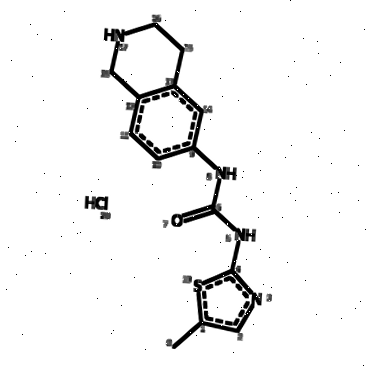 Cc1cnc(NC(=O)Nc2ccc3c(c2)CCNC3)s1.Cl